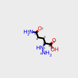 NNC(CCC(N)=O)C(=O)O